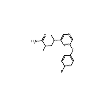 CC(CN(C)c1cncc(Oc2ccc(F)cc2)n1)C(N)=O